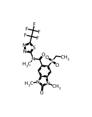 CCS(=O)(=O)c1cc2c(cc1C(=O)N(C)c1nnc(C(F)(F)C(F)(F)F)s1)n(C)c(=O)n2C